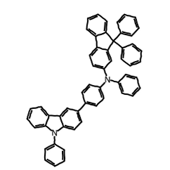 c1ccc(N(c2ccc(-c3ccc4c(c3)c3ccccc3n4-c3ccccc3)cc2)c2ccc3c(c2)C(c2ccccc2)(c2ccccc2)c2ccccc2-3)cc1